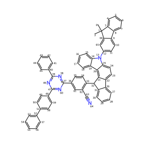 CC1(C)c2ccccc2-c2ccc(-n3c4ccccc4c4c5c(ccc43)-c3ccccc3C5c3ccc(-c4nc(-c5ccccc5)nc(-c5ccc(-c6ccccc6)cc5)n4)cc3C#N)cc21